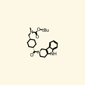 CN(C[C@H]1CC[C@H](C(=O)N2CCc3[nH]c4ccccc4c3C2)CC1)C(=O)OC(C)(C)C